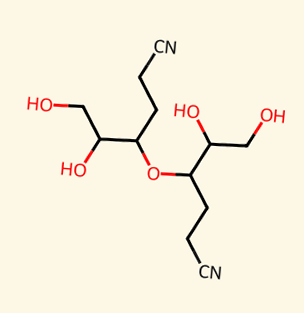 N#CCCC(OC(CCC#N)C(O)CO)C(O)CO